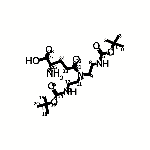 CC(C)(C)OC(=O)NCCN(CCNC(=O)OC(C)(C)C)C(=O)CC[C@H](N)C(=O)O